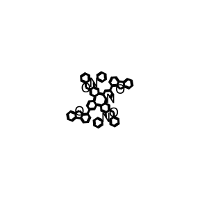 c1ccc(-n2c3ccccc3oc3cc4c5ccc(-c6cccc7c6oc6ccccc67)cc5c5cc6c(cc5c5ncc(-c7cccc8c7oc7ccccc78)cc5c4cc32)oc2ccccc2n6-c2ccccc2)cc1